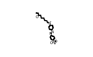 C=CC(=O)CCCCCCN(C)c1ccc(N=Nc2ccc(S(C)(=O)=O)cc2)cc1